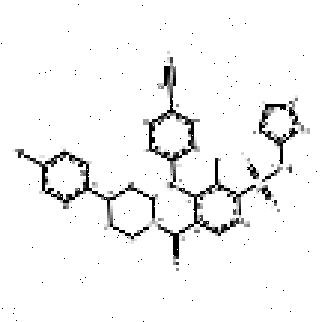 Cc1c(S(=O)(=O)Nc2ccon2)ncc(C(=O)N2CCC(c3ccc(F)cc3)CC2)c1Nc1ccc(C#N)cc1